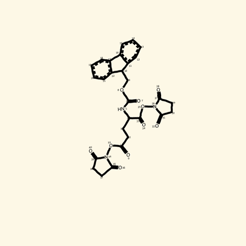 O=C(CCC(NC(=O)OCC1c2ccccc2-c2ccccc21)C(=O)ON1C(=O)CCC1=O)ON1C(=O)CCC1=O